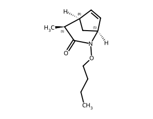 CCCCON1C(=O)[C@@H](C)[C@H]2C=C[C@@H]1C2